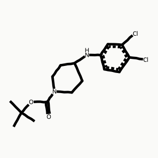 CC(C)(C)OC(=O)N1CCC(Nc2ccc(Cl)c(Cl)c2)CC1